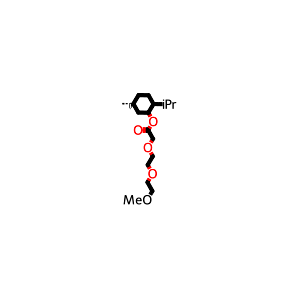 COCCOCCOCC(=O)OC1C[C@H](C)CCC1C(C)C